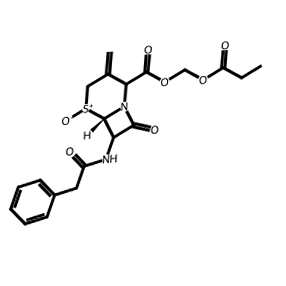 C=C1C[S+]([O-])[C@H]2C(NC(=O)Cc3ccccc3)C(=O)N2C1C(=O)OCOC(=O)CC